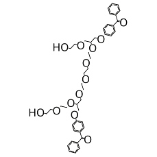 O=C(c1ccccc1)c1ccc(OCC(COCCO)OCCOCCOCCOCC(COc2ccc(C(=O)c3ccccc3)cc2)OCCOCCO)cc1